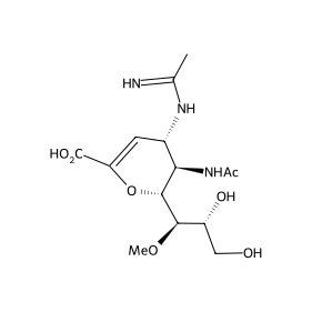 CO[C@@H]([C@@H]1OC(C(=O)O)=C[C@H](NC(C)=N)[C@H]1NC(C)=O)[C@H](O)CO